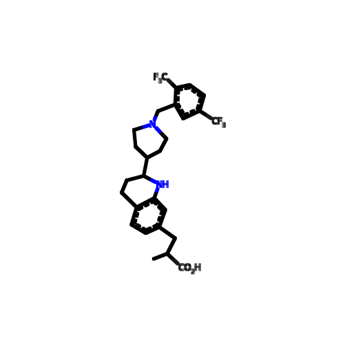 CC(Cc1ccc2c(c1)NC(C1CCN(Cc3cc(C(F)(F)F)ccc3C(F)(F)F)CC1)CC2)C(=O)O